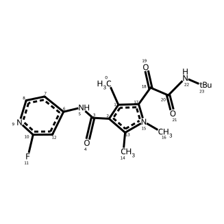 Cc1c(C(=O)Nc2ccnc(F)c2)c(C)n(C)c1C(=O)C(=O)NC(C)(C)C